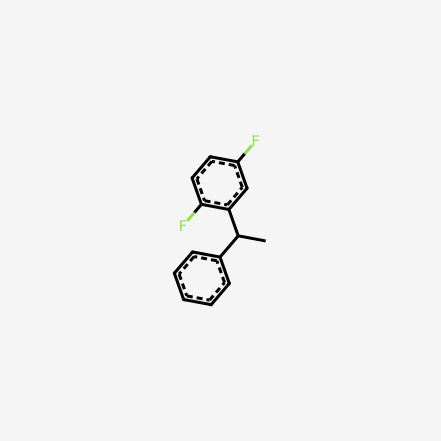 CC(c1ccccc1)c1cc(F)ccc1F